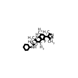 Cc1cc(-c2c(C)noc2C)c(F)c2c1NC(C)(C)[C@H](OC(=O)NC1CCCCC1)[C@H]2C